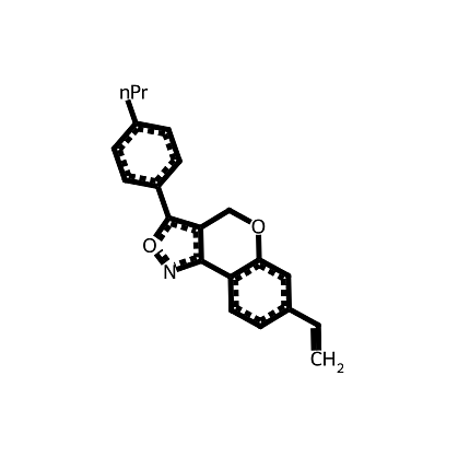 C=Cc1ccc2c(c1)OCc1c-2noc1-c1ccc(CCC)cc1